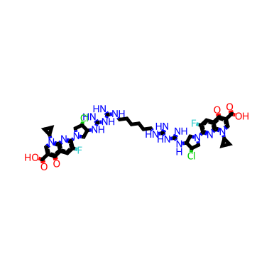 N=C(NCCCCCCNC(=N)NC(=N)NC1CN(c2nc3c(cc2F)c(=O)c(C(=O)O)cn3C2CC2)CC1Cl)NC(=N)NC1CN(c2nc3c(cc2F)c(=O)c(C(=O)O)cn3C2CC2)CC1Cl